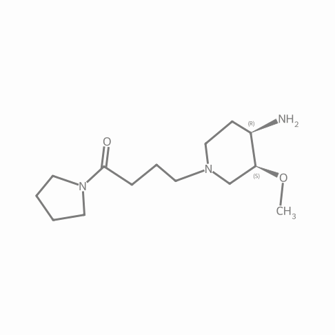 CO[C@H]1CN(CCCC(=O)N2CCCC2)CC[C@H]1N